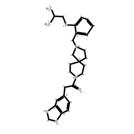 CC(C)COc1ccccc1CN1CCC2(CCN(C(=O)Cc3ccc4c(c3)OCO4)CC2)C1